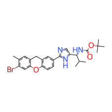 Cc1cc2c(cc1Br)Oc1ccc(-c3ncc([C@@H](NC(=O)OC(C)(C)C)C(C)C)[nH]3)cc1C2